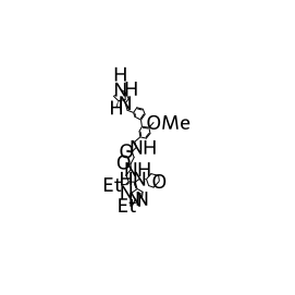 CCc1nc2c(cnn2CC)c(NC2CCOCC2)c1CNC(=O)CC(=O)NCc1ccc(OC)c(-c2cccc(CN3C[C@@H]4C[C@H]3CN4)c2)c1